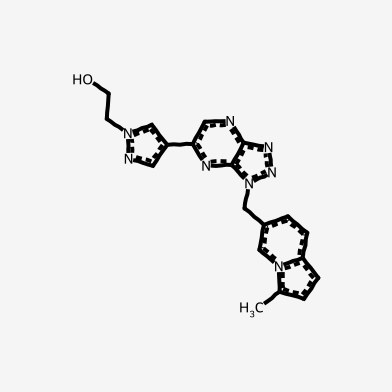 Cc1ccc2ccc(Cn3nnc4ncc(-c5cnn(CCO)c5)nc43)cn12